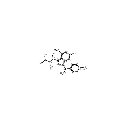 COc1nc(C)nc2c1c(C(F)C(O)C(F)F)nn2C(C)c1ccc(C(F)(F)F)cc1